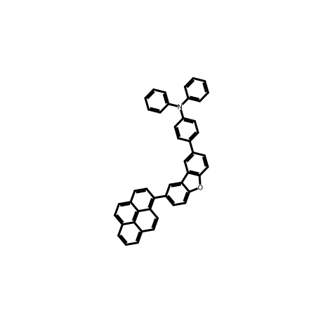 c1ccc(N(c2ccccc2)c2ccc(-c3ccc4oc5ccc(-c6ccc7ccc8cccc9ccc6c7c89)cc5c4c3)cc2)cc1